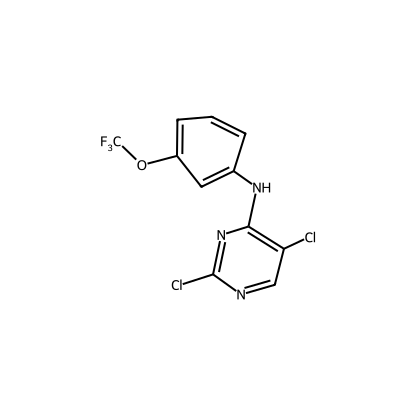 FC(F)(F)Oc1cccc(Nc2nc(Cl)ncc2Cl)c1